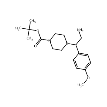 COc1ccc(C(CN)N2CCN(C(=O)OC(C)(C)C)CC2)cc1